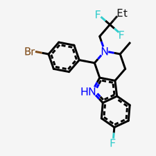 CCC(F)(F)CN1C(C)Cc2c([nH]c3cc(F)ccc23)C1c1ccc(Br)cc1